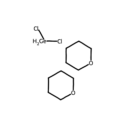 C1CCOCC1.C1CCOCC1.[Cl][GeH2][Cl]